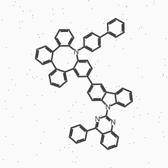 c1ccc(-c2ccc(-n3c4ccccc4c4ccccc4c4ccccc4c4cc(-c5ccc6c(c5)c5ccccc5n6-c5nc(-c6ccccc6)c6ccccc6n5)ccc43)cc2)cc1